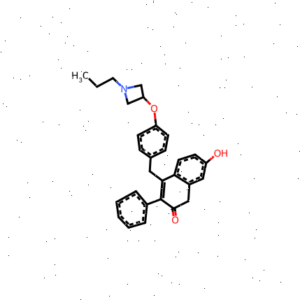 CCCN1CC(Oc2ccc(CC3=C(c4ccccc4)C(=O)Cc4cc(O)ccc43)cc2)C1